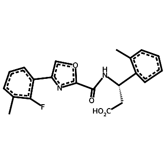 Cc1ccccc1[C@H](CC(=O)O)NC(=O)c1nc(-c2cccc(C)c2F)co1